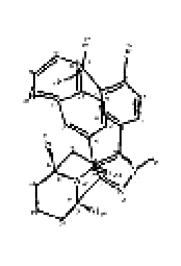 Cn1nc2c(c1-c1ccc(F)c(C(F)F)c1)C[C@H]1CCC[C@@H]2N1C(=O)c1ccc2nccnc2c1